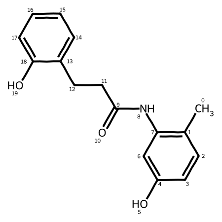 Cc1ccc(O)cc1NC(=O)CCc1ccccc1O